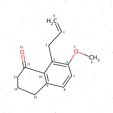 C=CCc1c(OC)ccc2c1C(=O)CCC2